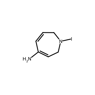 NC1=CCN(I)CC=C1